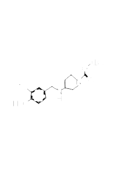 CC(=O)c1cc(CNC2CCN(C(=O)OC(C)(C)C)CC2)ccc1C